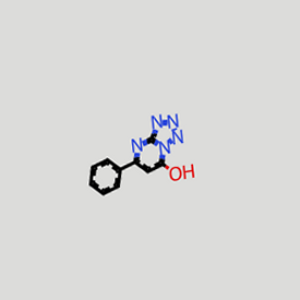 Oc1cc(-c2ccccc2)nc2nnnn12